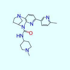 Cc1ccc(-c2ccc3c(n2)N(C(=O)NC2CCN(C)CC2)C2CCN3C2)cn1